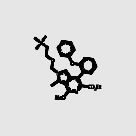 CCOC(=O)c1nc(OC)c2c(C)n(COCC[Si](C)(C)C)cc2c1-c1ccccc1Oc1ccccc1